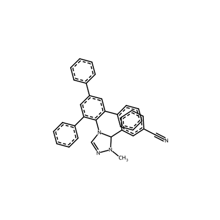 CN1N=CN(c2c(-c3ccccc3)cc(-c3ccccc3)cc2-c2ccccc2)C1c1cccc(C#N)c1